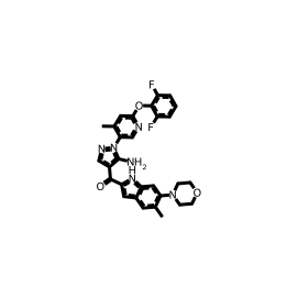 Cc1cc2cc(C(=O)c3cnn(-c4cnc(Oc5c(F)cccc5F)cc4C)c3N)[nH]c2cc1N1CCOCC1